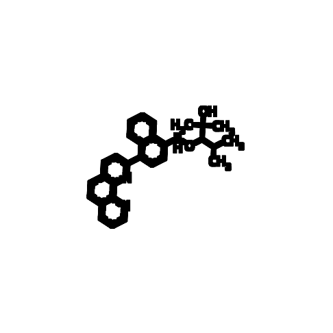 CC(C)C(OBc1ccc(-c2ccc3ccc4cccnc4c3n2)c2ccccc12)C(C)(C)O